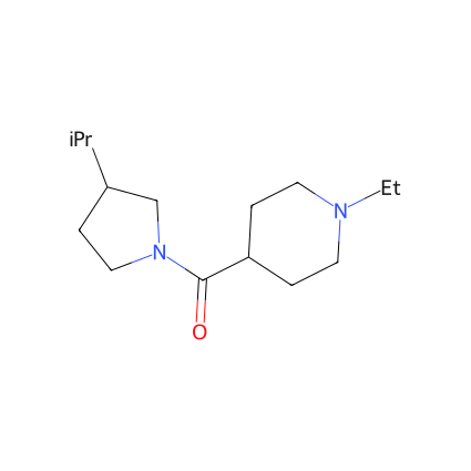 CCN1CCC(C(=O)N2CCC(C(C)C)C2)CC1